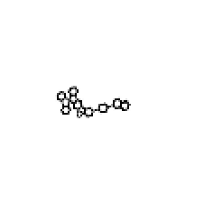 c1ccc2c(c1)-c1ccccc1C21c2ccccc2-c2cc3c(cc21)oc1ccc(-c2ccc(-c4ccc5ccccc5c4)cc2)cc13